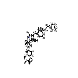 C/C(=N/C(=N)c1nc(-c2ccc(OC(C)(F)F)cc2)no1)NCc1ccnc(NCCN2CCOCC2)c1